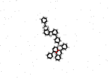 c1ccc(-c2ccc(N(c3ccc(-c4cccc5c4oc4ccc6nc(-c7ccccc7)oc6c45)cc3)c3ccccc3-c3ccc4ccccc4c3)cc2)cc1